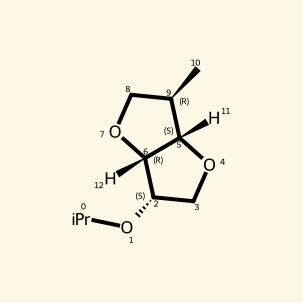 CC(C)O[C@H]1CO[C@@H]2[C@H]1OC[C@H]2C